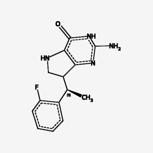 C[C@@H](c1ccccc1F)C1CNc2c1nc(N)[nH]c2=O